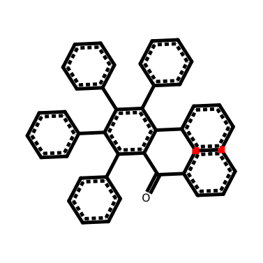 O=C(c1ccccc1)c1c(-c2ccccc2)c(-c2ccccc2)c(-c2ccccc2)c(-c2ccccc2)c1-c1ccccc1